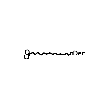 CCCCCCCCCCCCCCCCCCCCCCCCC(=O)Cl